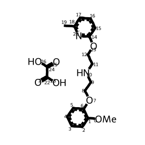 COc1ccccc1OCCNCCOc1cccc(C)n1.O=C(O)C(=O)O